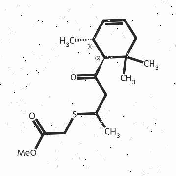 COC(=O)CSC(C)CC(=O)[C@H]1[C@H](C)C=CCC1(C)C